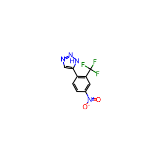 O=[N+]([O-])c1ccc(-c2cnn[nH]2)c(C(F)(F)F)c1